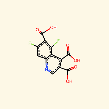 O=C(O)c1cnc2cc(F)c(C(=O)O)c(F)c2c1C(=O)O